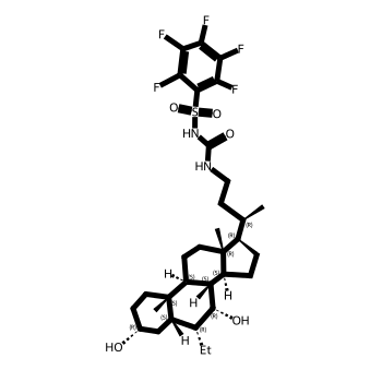 CC[C@H]1[C@@H](O)[C@@H]2[C@H](CC[C@]3(C)[C@@H]([C@H](C)CCNC(=O)NS(=O)(=O)c4c(F)c(F)c(F)c(F)c4F)CC[C@@H]23)[C@@]2(C)CC[C@@H](O)C[C@@H]12